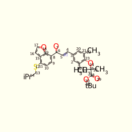 Cc1cc(/C=C/C(=O)c2ccc(SCC(C)C)c3ccoc23)cc(C)c1OC(C)(C)C(=O)OC(C)(C)C